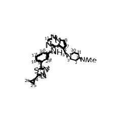 CNC1CCN(Cc2ccn3ncnc(Nc4cccc(-c5nnc(C6CC6)s5)c4)c23)CC1